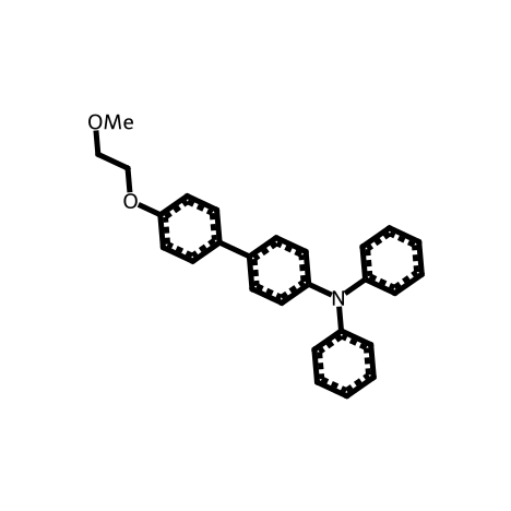 COCCOc1ccc(-c2ccc(N(c3ccccc3)c3ccccc3)cc2)cc1